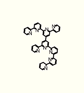 C1=CCC(c2cccc(-c3cccc(-c4cc(-c5cc(-c6ccccn6)nc(-c6cccc(-c7ccccn7)n6)c5)cc(-c5ccccn5)n4)n3)n2)N=C1